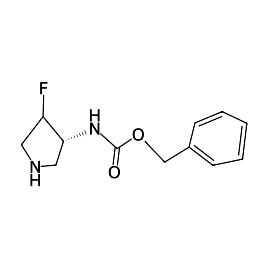 O=C(N[C@@H]1CNCC1F)OCc1ccccc1